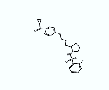 O=C(c1ccc(OCCCC2CCCN2NS(=O)(=O)c2ccccc2F)cc1)C1CC1